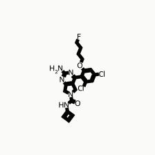 Nc1nc2c(c(-c3c(Cl)cc(Cl)cc3OCCCCF)n1)CN(C(=O)NC1=CC=C1)C2